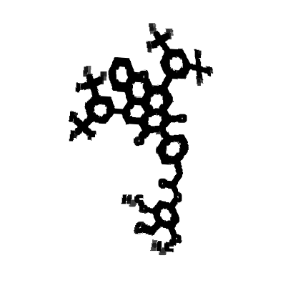 COc1cc(OC(=O)Cc2ccc(-n3c(=O)c4cc(-c5cc(C(F)(F)F)cc(C(F)(F)F)c5)c5oc6ccccc6c6c(-c7cc(C(F)(F)F)cc(C(F)(F)F)c7)cc(c3=O)c4c56)cc2)cc(OC)c1C=O